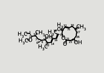 CC[C@H](OC)[C@@H](C)[C@H]1C[C@@H]1[C@H](O)[C@@H](C)/C=C/C=C(\C)[C@H]1OC(=O)C[C@H](O)CC[C@H](C)C/C=C/[C@@H]1C